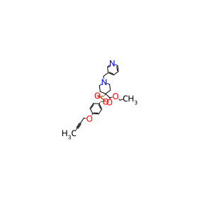 CC#CCOc1ccc(S(=O)(=O)C2(C(=O)OCC)CCN(Cc3cccnc3)CC2)cc1